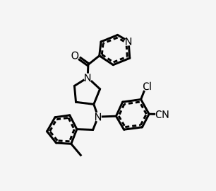 Cc1ccccc1CN(c1ccc(C#N)c(Cl)c1)C1CCN(C(=O)c2ccncc2)C1